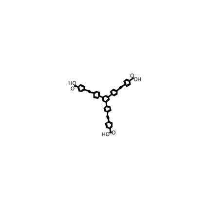 O=C(O)c1ccc(C#Cc2ccc(-c3cc(-c4ccc(C#Cc5ccc(C(=O)O)cc5)cc4)cc(-c4ccc(C#Cc5ccc(C(=O)O)cc5)cc4)c3)cc2)cc1